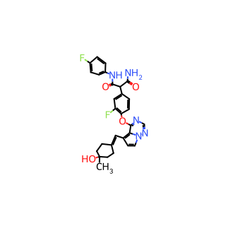 CC1(O)CCC(=Cc2ccn3ncnc(Oc4ccc(C(C(N)=O)C(=O)Nc5ccc(F)cc5)cc4F)c23)CC1